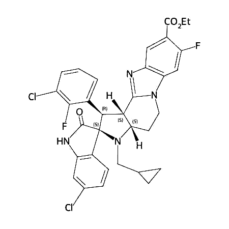 CCOC(=O)c1cc2nc3n(c2cc1F)CC[C@H]1[C@@H]3[C@H](c2cccc(Cl)c2F)[C@]2(C(=O)Nc3cc(Cl)ccc32)N1CC1CC1